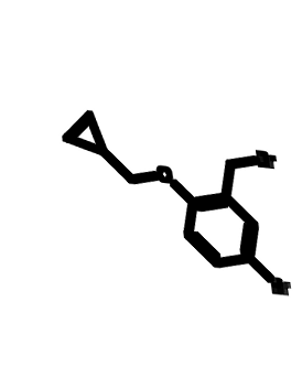 BrCc1cc(Br)ccc1OCC1CC1